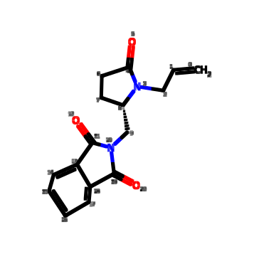 C=CCN1C(=O)CC[C@H]1CN1C(=O)c2ccccc2C1=O